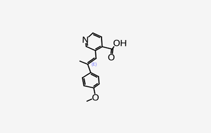 COc1ccc(/C(C)=C/c2cnccc2C(=O)O)cc1